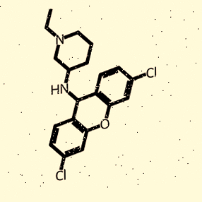 CCN1CCCC(NC2c3ccc(Cl)cc3Oc3cc(Cl)ccc32)C1